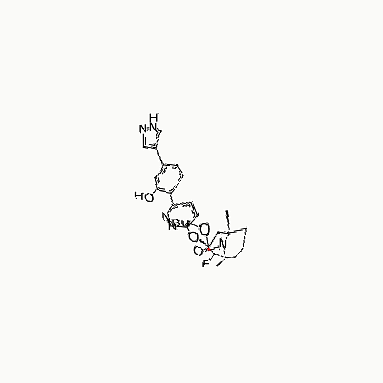 CC(C)(C)OC(=O)N1[C@@]2(C)CCC[C@]1(C)[C@@H](F)[C@@H](Oc1ccc(-c3ccc(-c4cn[nH]c4)cc3O)nn1)C2